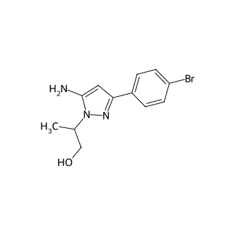 CC(CO)n1nc(-c2ccc(Br)cc2)cc1N